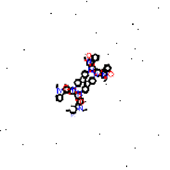 C=C/C=C\c1c(C)c2cc(N(c3ccc(OC)cc3)c3ccc4c(c3)C3(c5cc(N(c6ccc(OC)cc6)c6ccc7c(c6)c6ccccc6n7CC)ccc5-4)c4cc(N(c5ccc(OC)cc5)c5ccc6c(c5)c5ccccc5n6CC)ccc4-c4ccc(N(c5ccc(OC)cc5)c5ccc6c(c5)c5ccccc5n6CC)cc43)ccc2n1CC